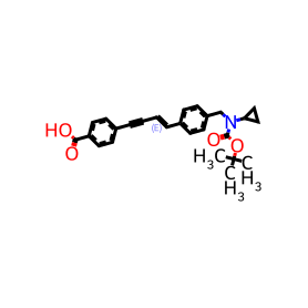 CC(C)(C)OC(=O)N(Cc1ccc(/C=C/C#Cc2ccc(C(=O)O)cc2)cc1)C1CC1